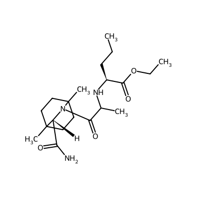 CCC[C@H](NC(C)C(=O)N1[C@H](C(N)=O)C2(C)CCC1(C)CC2)C(=O)OCC